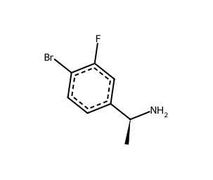 C[C@H](N)c1ccc(Br)c(F)c1